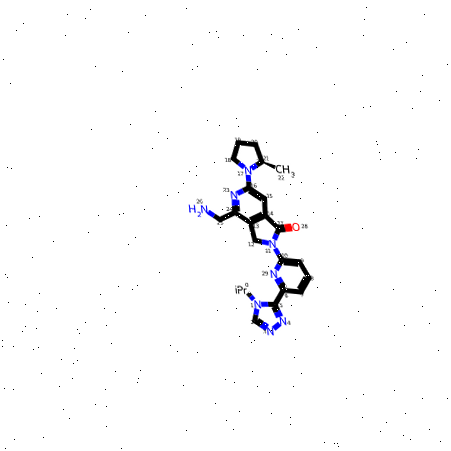 CC(C)n1cnnc1-c1cccc(N2Cc3c(cc(N4CCC[C@H]4C)nc3CN)C2=O)n1